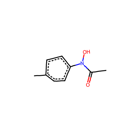 CC(=O)N(O)c1ccc(C)cc1